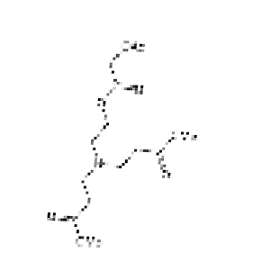 COC(=O)CCN(CCOC(=O)COC(C)=O)CCC(=O)OC